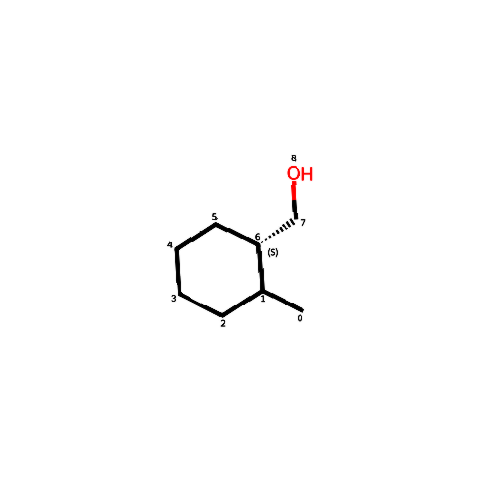 CC1CCCC[C@@H]1CO